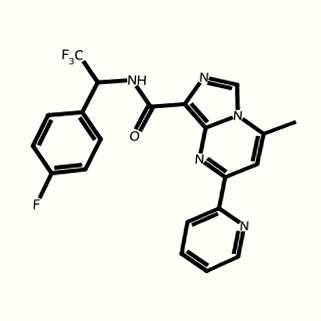 Cc1cc(-c2ccccn2)nc2c(C(=O)NC(c3ccc(F)cc3)C(F)(F)F)ncn12